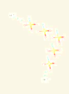 O=S(=O)([O-])F.O=S(=O)([O-])F.O=S(=O)([O-])F.O=S(=O)([O-])F.O=S(=O)([O-])F.[F-].[F-].[F-].[F-].[F-].[Nb+5].[Nb+5]